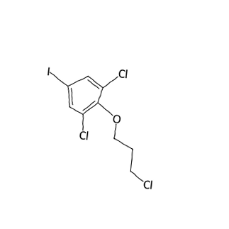 ClCCCOc1c(Cl)cc(I)cc1Cl